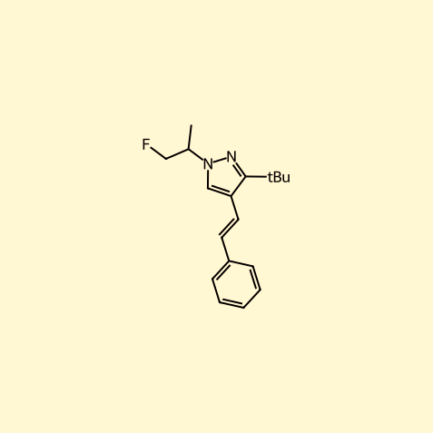 CC(CF)n1cc(/C=C/c2ccccc2)c(C(C)(C)C)n1